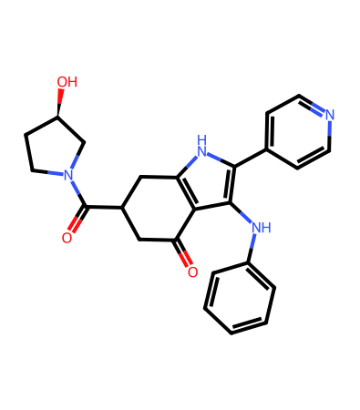 O=C1CC(C(=O)N2CC[C@@H](O)C2)Cc2[nH]c(-c3ccncc3)c(Nc3ccccc3)c21